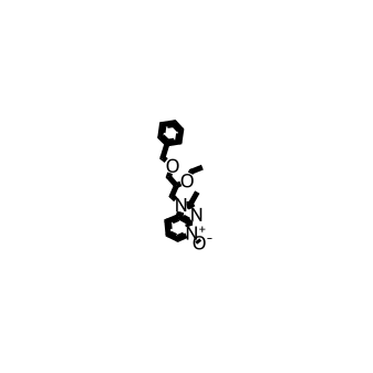 CCOC(COCc1ccccc1)Cn1c(C)nc2c1ccc[n+]2[O-]